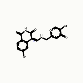 O=C1NC(=O)c2ccc(Br)cc2/C1=C/NCc1cc(=O)c(O)co1